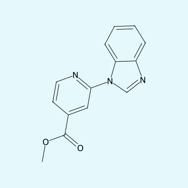 COC(=O)c1ccnc(-n2cnc3ccccc32)c1